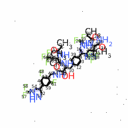 CCC(=O)N[C@H](C(=O)N[C@@H](Cc1ccc(/C(=C/NC(F)F)C(=N)CC(C)([C@H](NC(=O)CC)C(N)=O)C(F)(F)F)cc1)[C@@H](O)CNCc1c(F)cc(/C(C=N)=C/NC(F)F)cc1F)C(C)(C)C(F)(F)F